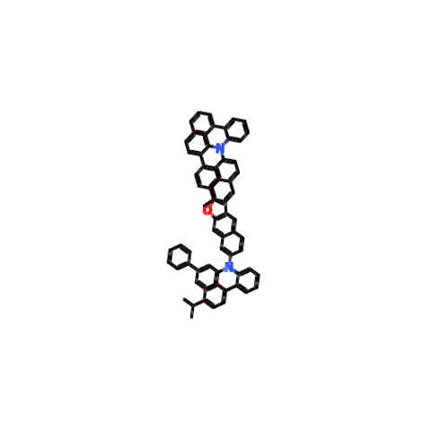 CC(C)c1ccc(-c2ccccc2N(c2cccc(-c3ccccc3)c2)c2ccc3cc4c(cc3c2)oc2cc3cc(N(c5ccccc5-c5ccccc5)c5ccccc5-c5ccc(C(C)C)cc5)ccc3cc24)cc1